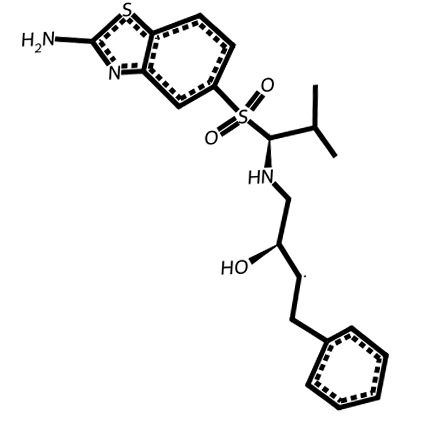 CC(C)[C@@H](NC[C@H](O)[CH]Cc1ccccc1)S(=O)(=O)c1ccc2sc(N)nc2c1